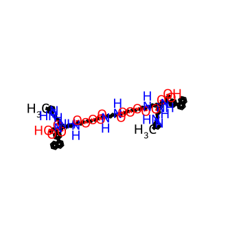 Cc1ccnc(NCCCC(=O)N[C@@H](CCCCNC(=O)CCOCCOCCOC(=O)NCCCCNC(=O)OCCOCCOCCC(=O)NCCCC[C@H](NC(=O)CCCNc2cc(C)ccn2)C(=O)NC(CC(=O)O)c2ccc(-c3cccc4ccccc34)cc2)C(=O)NC(CC(=O)O)c2ccc(-c3cccc4ccccc34)cc2)c1